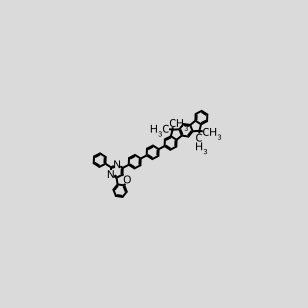 CC1(C)c2ccccc2-c2cc3c(cc21)-c1ccc(-c2ccc(-c4ccc(-c5nc(-c6ccccc6)nc6c5oc5ccccc56)cc4)cc2)cc1C3(C)C